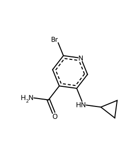 NC(=O)c1cc(Br)ncc1NC1CC1